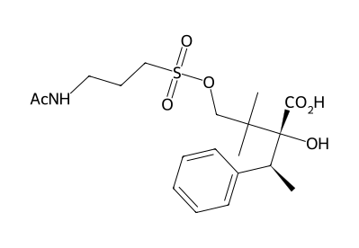 CC(=O)NCCCS(=O)(=O)OCC(C)(C)[C@@](O)(C(=O)O)[C@@H](C)c1ccccc1